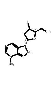 NN1C=NC=C2C1=NNN2[C@@H]1CC(F)[C@@H](CO)O1